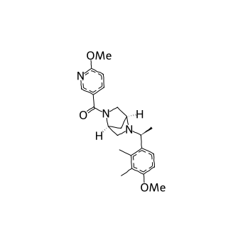 COc1ccc(C(=O)N2C[C@@H]3C[C@H]2CN3[C@@H](C)c2ccc(OC)c(C)c2C)cn1